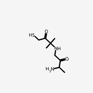 CC(N)C(=O)CNC(C)(C)C(=O)CS